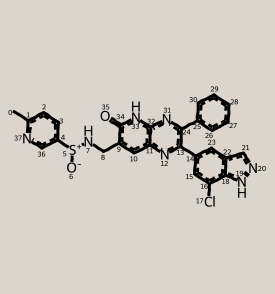 Cc1ccc([S+]([O-])NCc2cc3nc(-c4cc(Cl)c5[nH]ncc5c4)c(-c4ccccc4)nc3[nH]c2=O)cn1